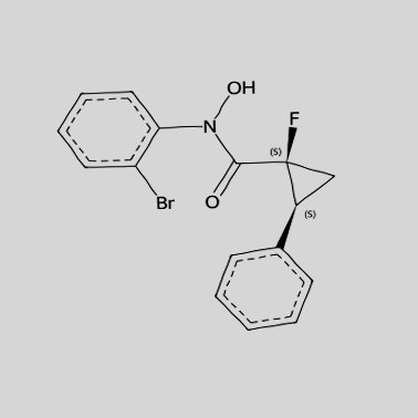 O=C(N(O)c1ccccc1Br)[C@]1(F)C[C@H]1c1ccccc1